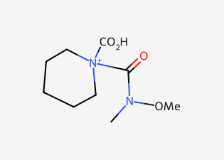 CON(C)C(=O)[N+]1(C(=O)O)CCCCC1